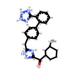 CC(C)(C)C1CCCC(C(=O)c2n[nH]c(Cc3ccc(-c4ccccc4-c4nnn[nH]4)cc3)n2)C1